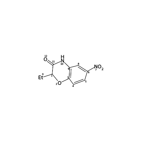 CCC1Oc2ccc([N+](=O)[O-])cc2NC1=O